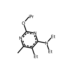 CCc1c(C)nc(OC(C)C)nc1N(CC)CC